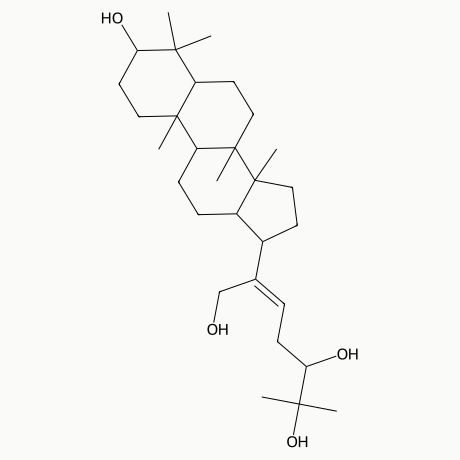 CC(C)(O)C(O)CC=C(CO)C1CCC2(C)C1CCC1C3(C)CCC(O)C(C)(C)C3CCC12C